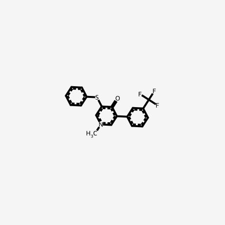 Cn1cc(Sc2ccccc2)c(=O)c(-c2cccc(C(F)(F)F)c2)c1